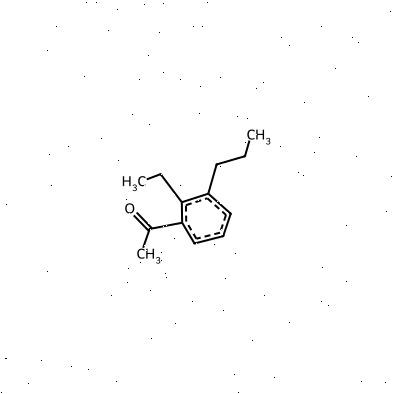 CCCc1cccc(C(C)=O)c1CC